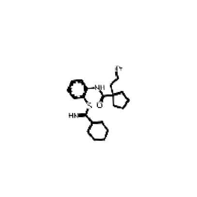 CC(C)CCC1(C(=O)Nc2ccccc2SC(=N)C2CCCCC2)CCCC1